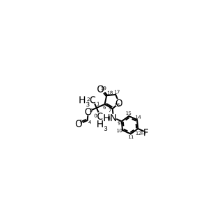 CC(C)(OC=O)C1=C(Nc2ccc(F)cc2)OCC1=O